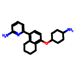 Nc1cccc(-c2ccc(OC3CCC(N)CC3)c3c2CCCC3)n1